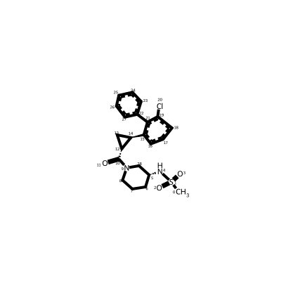 CS(=O)(=O)N[C@@H]1CCCN(C(=O)[C@@H]2C[C@H]2c2cccc(Cl)c2-c2ccccc2)C1